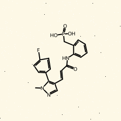 Cn1ncc(C=CC(=O)Nc2ccccc2CP(=O)(O)O)c1-c1ccc(F)cc1